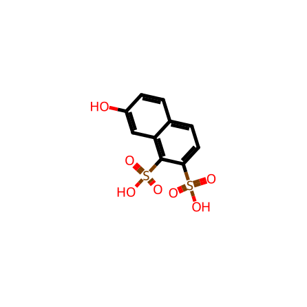 O=S(=O)(O)c1ccc2ccc(O)cc2c1S(=O)(=O)O